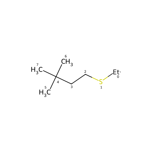 C[CH]SCCC(C)(C)C